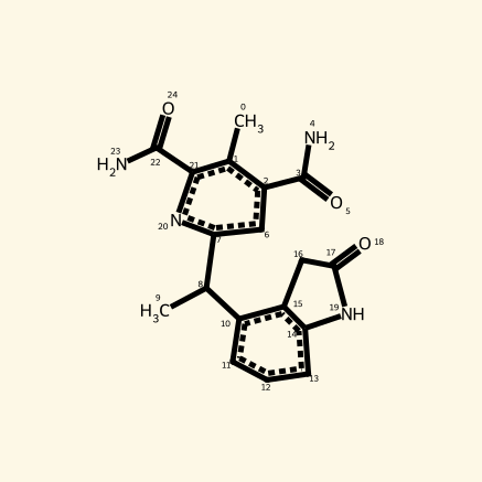 Cc1c(C(N)=O)cc(C(C)c2cccc3c2CC(=O)N3)nc1C(N)=O